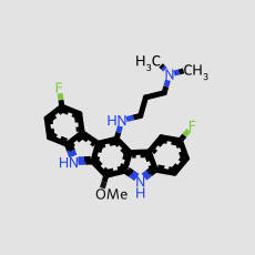 COc1c2[nH]c3ccc(F)cc3c2c(NCCCN(C)C)c2c1[nH]c1ccc(F)cc12